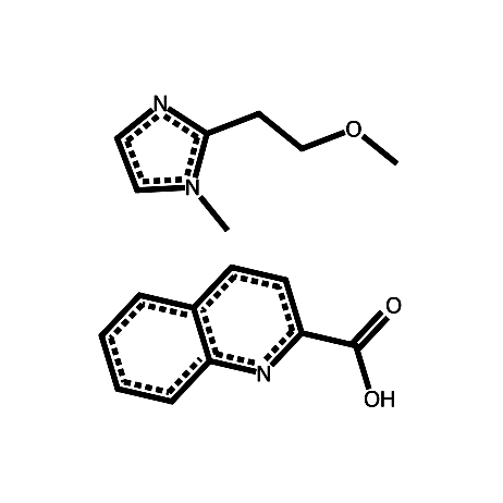 COCCc1nccn1C.O=C(O)c1ccc2ccccc2n1